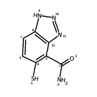 NC(=O)c1c(S)ccc2[nH]nnc12